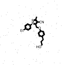 CCc1ccc(-n2nc(C)c(C#N)c2COc2ccc(CCCO)cc2)cc1